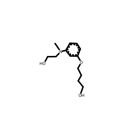 CN(CCO)c1cccc(OCCCCO)c1